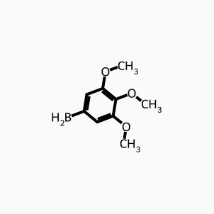 Bc1cc(OC)c(OC)c(OC)c1